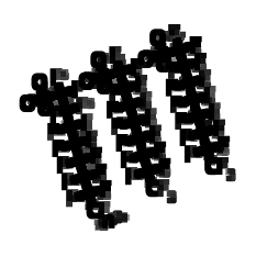 O=S(=O)([O-])C(F)(F)C(F)(F)C(F)(F)C(F)(F)C(F)(F)C(F)(F)C(F)(F)C(F)(F)F.O=S(=O)([O-])C(F)(F)C(F)(F)C(F)(F)C(F)(F)C(F)(F)C(F)(F)C(F)(F)C(F)(F)F.O=S(=O)([O-])C(F)(F)C(F)(F)C(F)(F)C(F)(F)C(F)(F)C(F)(F)C(F)(F)C(F)(F)F.[In+3]